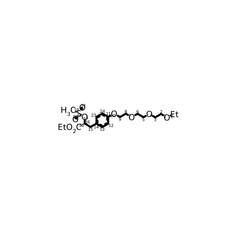 CCOCCOCCOCCOc1ccc(C[C@@H](OS(C)(=O)=O)C(=O)OCC)cc1